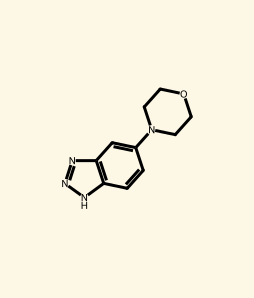 c1cc2[nH]nnc2cc1N1CCOCC1